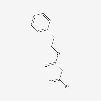 CCC(=O)CC(=O)OCCc1ccccc1